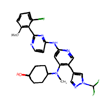 COc1cccc(F)c1-c1nccc(Nc2cc(N(C)C3CCC(O)CC3)c(-c3cnn(C(F)F)c3)cn2)n1